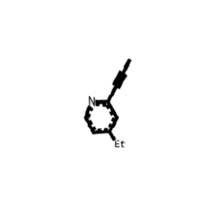 CC#Cc1cc(CC)ccn1